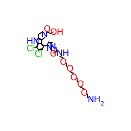 NCCOCCOCCOCCOCCOCCNC(=O)Cn1ccc(-c2cc(Cl)c(Cl)c3[nH]c4c(c23)CN(C(=O)CO)CC4)n1